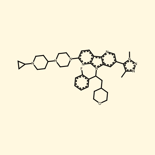 Cc1nnn(C)c1-c1cnc2c3ccc(N4CCN(C5CCN(C6CC6)CC5)CC4)nc3n(C(CC3CCOCC3)c3ccccc3F)c2c1